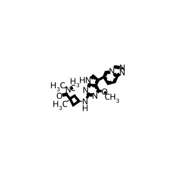 COc1nc(N[C@H]2C[C@](C)(C(=O)N(C)C)C2)nc2[nH]cc(-c3ccc4nncn4c3)c12